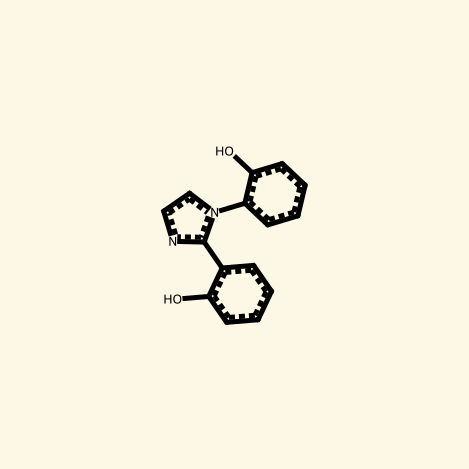 Oc1ccccc1-c1nccn1-c1ccccc1O